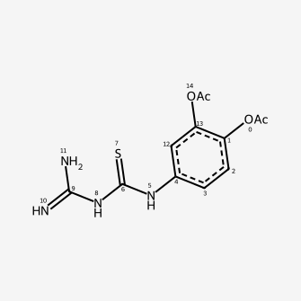 CC(=O)Oc1ccc(NC(=S)NC(=N)N)cc1OC(C)=O